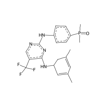 CC1=CC(Nc2nc(Nc3ccc(P(C)(C)=O)cc3)ncc2C(F)(F)F)CC(C)=C1